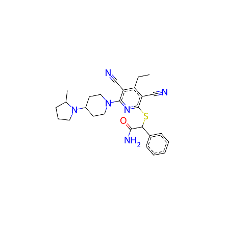 CCc1c(C#N)c(SC(C(N)=O)c2ccccc2)nc(N2CCC(N3CCCC3C)CC2)c1C#N